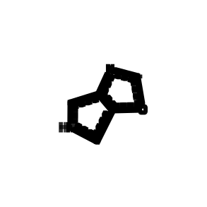 [c]1nc2c[nH]cc2o1